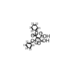 O=C(O)C(C(=O)O)=C(C(=O)Oc1ccccc1)C(=O)Oc1ccccc1